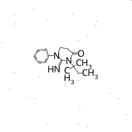 CCC(C)(C)N1C(=N)N(c2ccccc2)CCC1=O